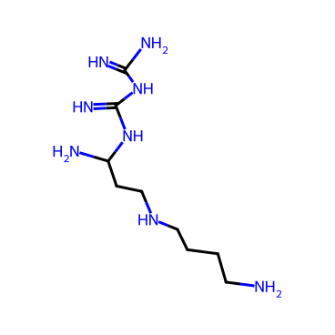 N=C(N)NC(=N)NC(N)CCNCCCCN